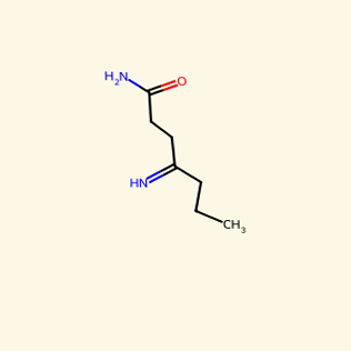 CCCC(=N)CCC(N)=O